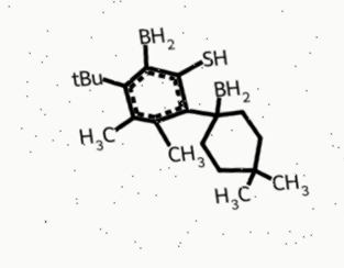 Bc1c(S)c(C2(B)CCC(C)(C)CC2)c(C)c(C)c1C(C)(C)C